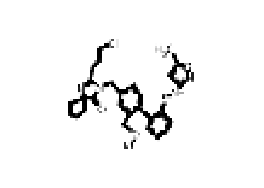 CCOCc1cc(CN2C(=O)C3(CCCC3)N=C2CCCCl)ccc1-c1ccccc1SNc1cc(C)on1